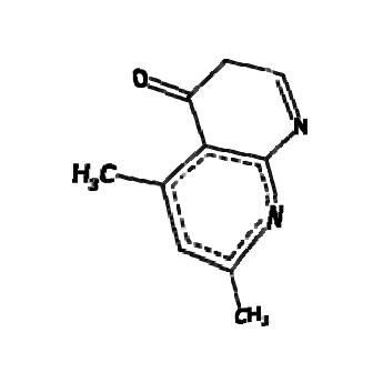 Cc1cc(C)c2c(n1)N=CCC2=O